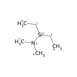 CC[Si](CC)N(C)C